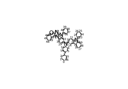 c1ccc(-c2ccc(N(c3ccc4c(c3)c3ccccc3n4-c3ccccc3)c3ccc4c(c3)n(-c3ccccc3)c3nc5oc6ccccc6c5n43)cc2)cc1